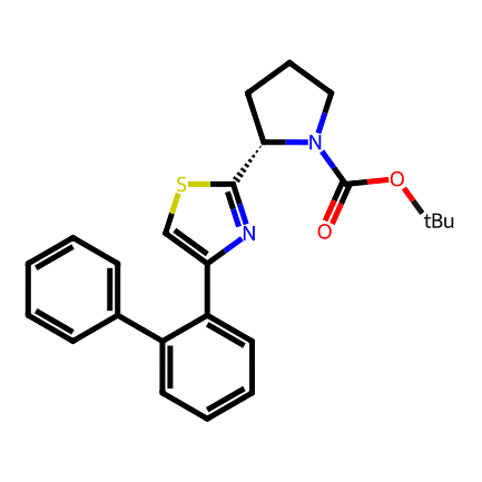 CC(C)(C)OC(=O)N1CCC[C@H]1c1nc(-c2ccccc2-c2ccccc2)cs1